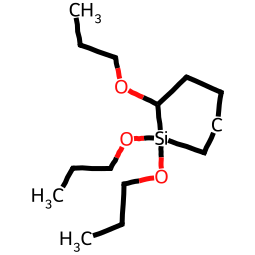 CCCOC1CCCC[Si]1(OCCC)OCCC